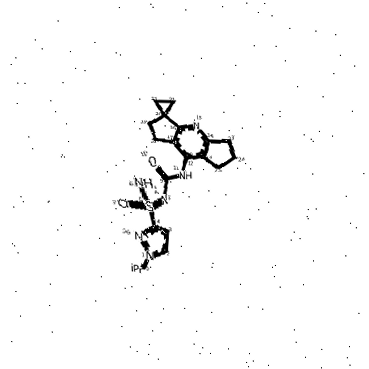 CC(C)n1ccc(S(N)(=O)=NC(=O)Nc2c3c(nc4c2CCC42CC2)CCC3)n1